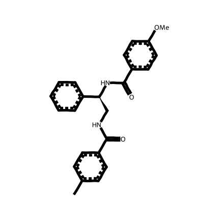 COc1ccc(C(=O)N[C@@H](CNC(=O)c2ccc(C)cc2)c2ccccc2)cc1